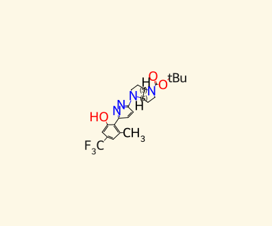 Cc1cc(C(F)(F)F)cc(O)c1-c1ccc(N2CC[C@H]3[C@@H]2CCN3C(=O)OC(C)(C)C)nn1